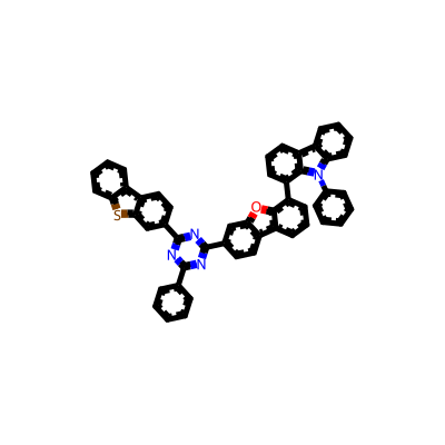 c1ccc(-c2nc(-c3ccc4c(c3)oc3c(-c5cccc6c7ccccc7n(-c7ccccc7)c56)cccc34)nc(-c3ccc4c(c3)sc3ccccc34)n2)cc1